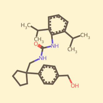 CC(C)c1cccc(C(C)C)c1NC(=O)NCC1(c2ccc(CO)cc2)CCCC1